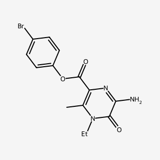 CCn1c(C)c(C(=O)Oc2ccc(Br)cc2)nc(N)c1=O